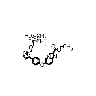 CCOC(=O)c1cn2cc(Oc3ccc(-c4ccnn4COCC[Si](C)(C)C)cc3)ccc2n1